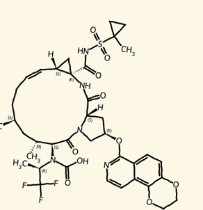 C[C@H]1CCC=C[C@@H]2C[C@@]2(C(=O)NS(=O)(=O)C2(C)CC2)NC(=O)[C@@H]2C[C@@H](Oc3nccc4c5c(ccc34)OCCO5)CN2C(=O)[C@@H](N(C(=O)O)[C@H](C)C(F)(F)F)[C@H](C)C1